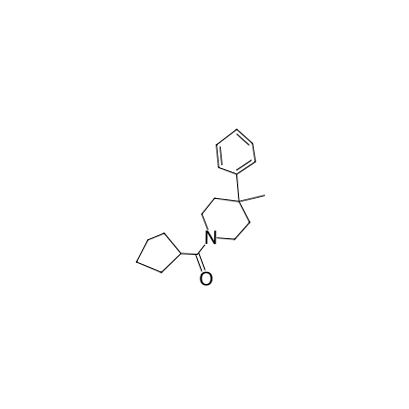 CC1(c2ccccc2)CCN(C(=O)C2CCCC2)CC1